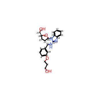 OCCCOc1cccc(CNc2nc3ccccc3n2[C@H]2CC[C@@H](CO)O2)c1